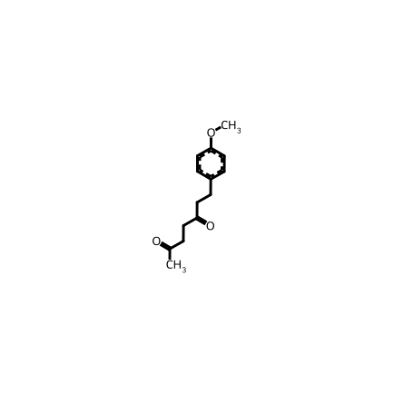 COc1ccc(CCC(=O)CCC(C)=O)cc1